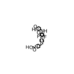 O=C1CCC(Nc2cc(F)c(N3CCN(CC4CCN(C(=O)CO)CC4)CC3)c(F)c2)C(=O)N1